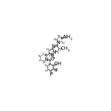 Cc1cn2nc([C@@H]3CCCCN3C(=O)c3ccc(F)c(F)c3O)cc2nc1N1CC[C@H](N)C1